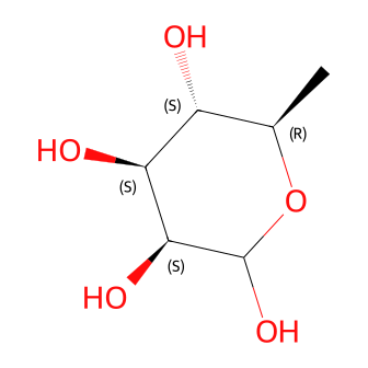 C[C@H]1OC(O)[C@@H](O)[C@@H](O)[C@@H]1O